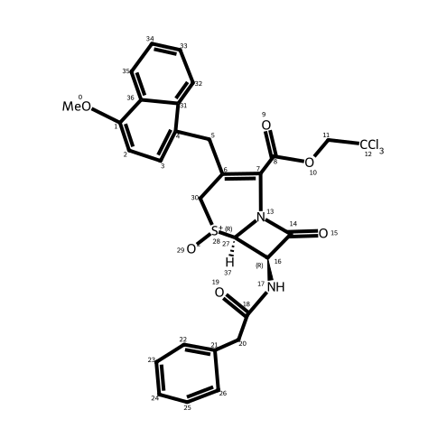 COc1ccc(CC2=C(C(=O)OCC(Cl)(Cl)Cl)N3C(=O)[C@@H](NC(=O)Cc4ccccc4)[C@H]3[S+]([O-])C2)c2ccccc12